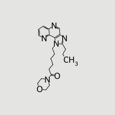 CCCc1nc2cnc3cccnc3c2n1CCCCCC(=O)N1CCOCC1